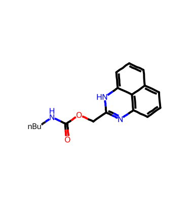 CCCCNC(=O)OCC1=Nc2cccc3cccc(c23)N1